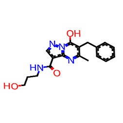 Cc1nc2c(C(=O)NCCCO)cnn2c(O)c1Cc1ccccc1